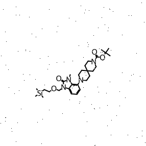 Cn1c(=O)n(COCC[Si](C)(C)C)c2cccc(N3CCC4(CCN(C(=O)OC(C)(C)C)CC4)CC3)c21